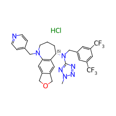 Cl.Cn1nnc(N(Cc2cc(C(F)(F)F)cc(C(F)(F)F)c2)[C@H]2CCCN(Cc3ccncc3)c3cc4c(cc32)COC4)n1